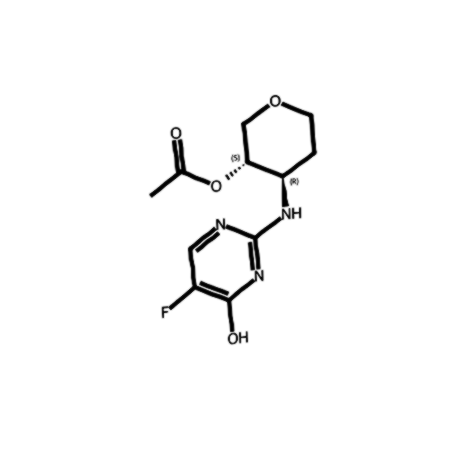 CC(=O)O[C@@H]1COCC[C@H]1Nc1ncc(F)c(O)n1